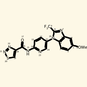 COc1ccc2c(c1)nc(C(F)(F)F)n2-c1ccc(NC(=O)c2csnn2)nc1